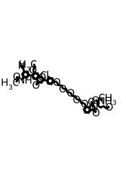 CCOc1cc2oc(-c3ccc(OCCOCCOCCOCCOc4cccc5c4C(=O)N(C(CCC=O)C(=O)NC)C5=O)cc3Cl)cc(=O)c2cc1-c1cc(C#N)cc(NC(C)=O)c1